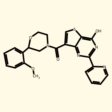 COc1ccccc1C1CN(C(=O)c2csc3c(O)nc(-c4ccccn4)nc23)CCO1